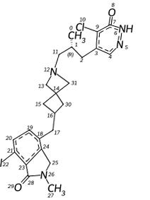 C[C@H](Cc1cn[nH]c(=O)c1Cl)CN1CC2(CC(Cc3ccc(Cl)c4c3CN(C)C4=O)C2)C1